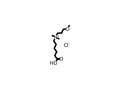 COCCC[N+](C)(C)CCCCCC(=O)O.[Cl-]